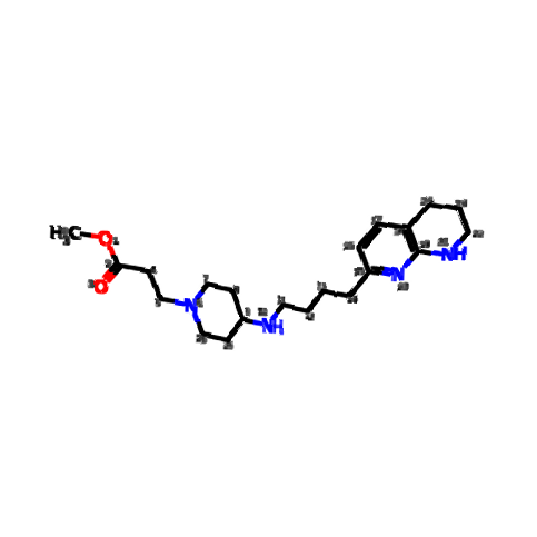 COC(=O)CCN1CCC(NCCCCc2ccc3c(n2)NCCC3)CC1